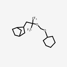 FC(F)(F)C(CC1CC2CCC1C2)(OCOC1CCCCC1)C(F)(F)F